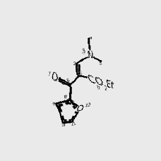 CCOC(=O)/C(=C\N(C)C)C(=O)c1ccco1